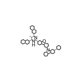 CC1C(c2ccc3ccccc3c2)N=C(c2ccc3c(c2)oc2ccc(-n4c5ccccc5c5ccc(-c6ccccc6)cc54)cc23)NC1c1ccc2ccccc2c1